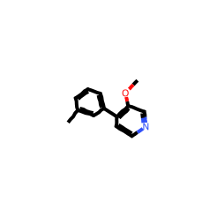 COc1cnccc1-c1cccc(C)c1